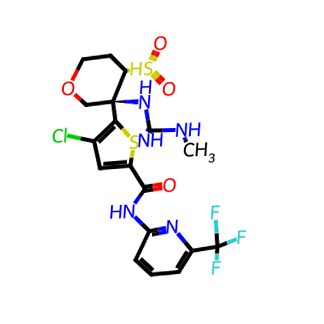 CNC(=N)N[C@@]1(c2sc(C(=O)Nc3cccc(C(F)(F)F)n3)cc2Cl)COCCC1[SH](=O)=O